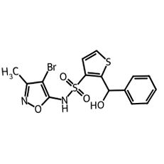 Cc1noc(NS(=O)(=O)c2ccsc2C(O)c2ccccc2)c1Br